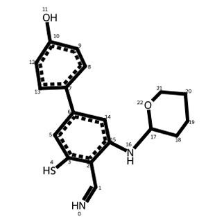 N=Cc1c(S)cc(-c2ccc(O)cc2)cc1NC1CCCCO1